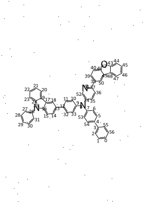 c1ccc(-c2ccc(N(c3ccc(-c4ccc5c(c4)c4ccccc4n5-c4ccccc4)cc3)c3ccc(-c4ccc5oc6ccccc6c5c4)nc3)cc2)cc1